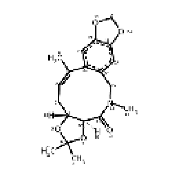 CC1=CC[C@H]2OC(C)(C)O[C@@H]2C(=O)N(C)Cc2cc3c(cc21)OCO3